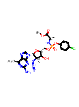 COc1nc(N)nc2c1ncn2[C@@H]1O[C@H](COP(=O)(N[C@@H](C)C(=O)OC(C)C)Oc2ccc(Cl)cc2)C(O)[C@@]1(C)N=[N+]=[N-]